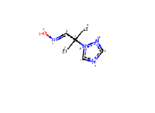 CCC(/C=N/O)(CC)n1cncn1